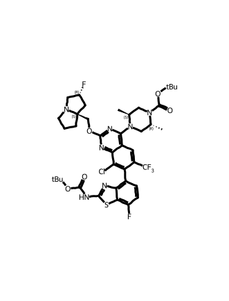 C[C@@H]1CN(c2nc(OC[C@@]34CCCN3C[C@H](F)C4)nc3c(Cl)c(-c4ccc(F)c5sc(NC(=O)OC(C)(C)C)nc45)c(C(F)(F)F)cc23)[C@@H](C)CN1C(=O)OC(C)(C)C